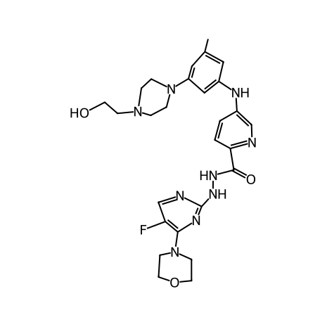 Cc1cc(Nc2ccc(C(=O)NNc3ncc(F)c(N4CCOCC4)n3)nc2)cc(N2CCN(CCO)CC2)c1